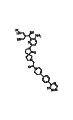 CN/C=N\C(=N)c1ccc(C2=CCN(C(=O)CN3CC[C@]4(CCN(c5ccc(N)c(C(=N)/C(C=N)=C/NC(C)C)n5)C4=O)C3)CC2)cc1